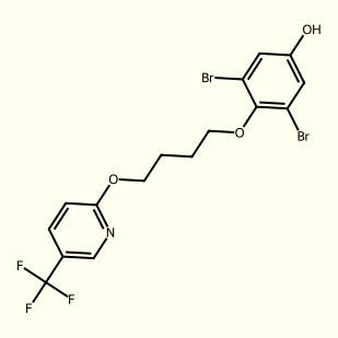 Oc1cc(Br)c(OCCCCOc2ccc(C(F)(F)F)cn2)c(Br)c1